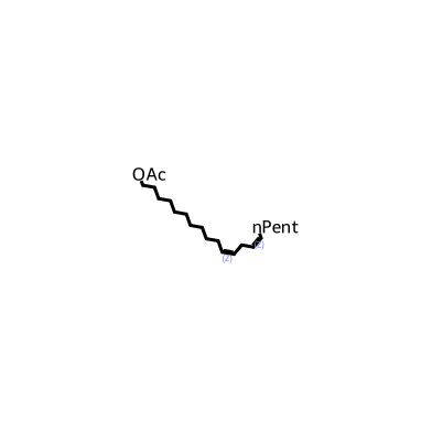 CCCCC/C=C\C/C=C\CCCCCCCCCCOC(C)=O